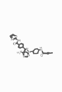 CC#CC(=O)NC1CCC(n2nc(-c3ccc(C(=O)Nc4nccs4)cc3)c3c(N)ncnc32)CC1